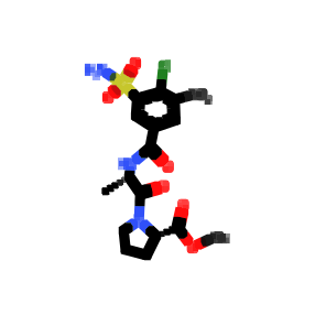 C[C@H](NC(=O)c1cc([N+](=O)[O-])c(Cl)c(S(N)(=O)=O)c1)C(=O)N1CCC[C@H]1C(=O)OC(C)(C)C